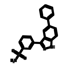 NS(=O)(=O)c1cccc(-c2n[nH]c3ccc(-c4ccccc4)cc23)c1